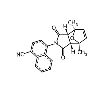 C[C@]12C=C[C@](C)(O1)[C@@H]1C(=O)N(c3ccc(C#N)c4ccccc34)C(=O)[C@@H]12